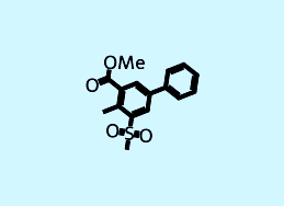 COC(=O)c1cc(-c2ccccc2)cc(S(C)(=O)=O)c1C